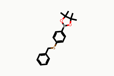 CC1(C)OB(c2ccc(SCc3ccccc3)cc2)OC1(C)C